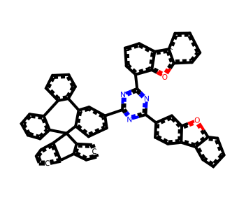 c1ccc2c(c1)-c1ccccc1C1(c3ccc(-c4nc(-c5ccc6c(c5)oc5ccccc56)nc(-c5cccc6c5oc5ccccc56)n4)cc3-2)c2ccccc2-c2ccccc21